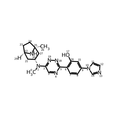 CN(c1cnc(-c2ccc(-n3ccnc3)cc2O)nn1)[C@@H]1C[C@H]2CC[C@@](C)(C1)N2